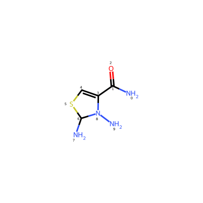 NC(=O)C1=CSC(N)N1N